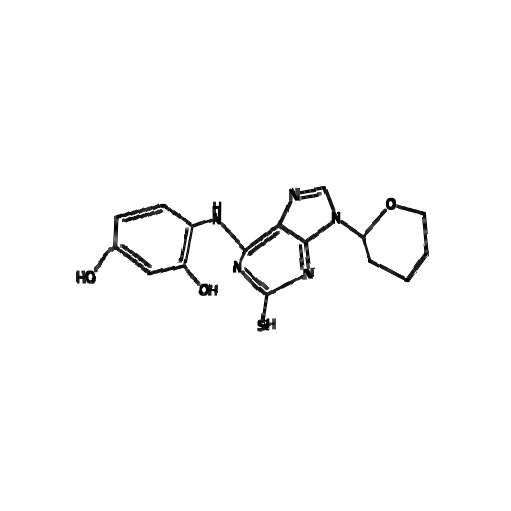 Oc1ccc(Nc2nc(S)nc3c2ncn3C2CCCCO2)c(O)c1